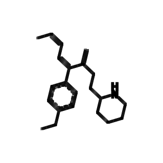 C=C(CCC1CCCCN1)/C(=C\C=C/C)c1ccc(CC)cc1